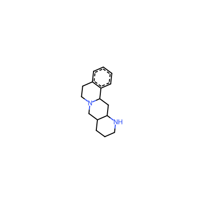 c1ccc2c(c1)CCN1CC3CCCNC3CC21